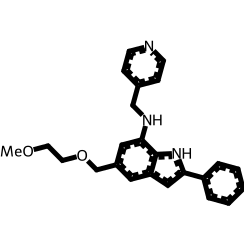 COCCOCc1cc(NCc2ccncc2)c2[nH]c(-c3ccccc3)cc2c1